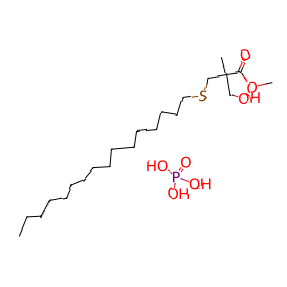 CCCCCCCCCCCCCCCCSCC(C)(CO)C(=O)OC.O=P(O)(O)O